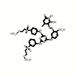 CCn1c(O)c(/N=N/c2cc(Nc3nc(Nc4ccc(S(=O)(=O)CCOS(=O)(=O)O)cc4)nc(Nc4cccc(S(=O)(=O)CCOS(=O)(=O)O)c4)n3)ccc2S(=O)(=O)O)c(C)cc1=O